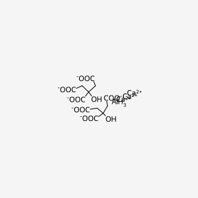 O=C([O-])CC(O)(CC(=O)[O-])C(=O)[O-].O=C([O-])CC(O)(CC(=O)[O-])C(=O)[O-].[AlH3].[Ca+2].[Ca+2].[Ca+2]